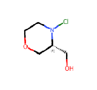 OC[C@@H]1COCCN1Cl